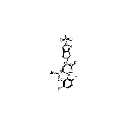 CC(C)(C)N(C(=O)O)[C@H]1C[C@@H](N2Cc3cn(S(C)(=O)=O)nc3C2)[C@@H](F)O[C@@H]1c1cc(F)ccc1F